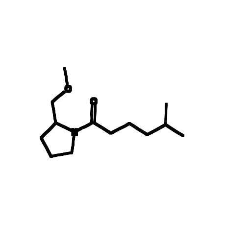 COCC1CCCN1C(=O)CCCC(C)C